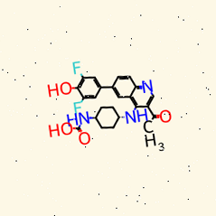 CC(=O)c1cnc2ccc(-c3cc(F)c(O)c(F)c3)cc2c1N[C@H]1CC[C@H](NC(=O)O)CC1